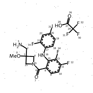 COC1(CN)CN(C(=O)c2ccc(F)c(F)c2Nc2ccc(I)cc2F)C1.O=C(O)C(F)(F)F